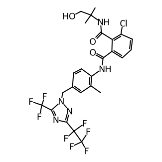 Cc1cc(Cn2nc(C(F)(F)C(F)(F)F)nc2C(F)(F)F)ccc1NC(=O)c1cccc(Cl)c1C(=O)NC(C)(C)CO